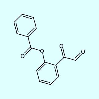 O=CC(=O)c1ccccc1OC(=O)c1ccccc1